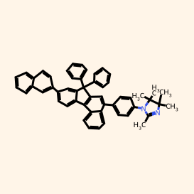 CC1=NC(C)(C)C(C)(C)N1c1ccc(-c2cc3c(c4ccccc24)-c2ccc(-c4ccc5ccccc5c4)cc2C3(c2ccccc2)c2ccccc2)cc1